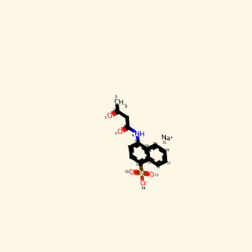 CC(=O)CC(=O)Nc1ccc(S(=O)(=O)[O-])c2ccccc12.[Na+]